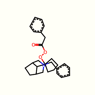 O=C(Cc1ccccc1)OOC1(C2C3CCC2CN(Cc2ccccc2)C3)CCCC1